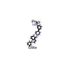 COc1cccc(-n2ccc3c(CN4CCC(c5cccc(NC(=O)C(C)C)c5)CC4)cccc32)c1